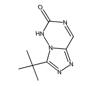 CC(C)(C)c1nnc2cnc(=O)[nH]n12